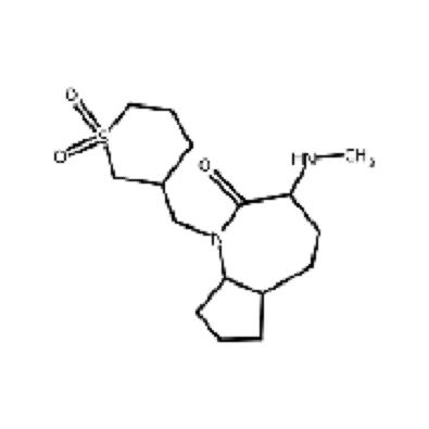 CNC1CCC2CCCC2N(CC2CCCS(=O)(=O)C2)C1=O